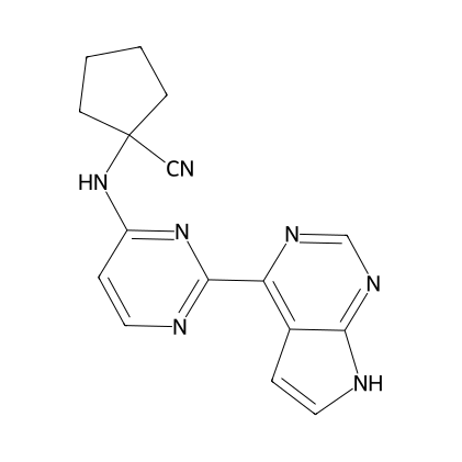 N#CC1(Nc2ccnc(-c3ncnc4[nH]ccc34)n2)CCCC1